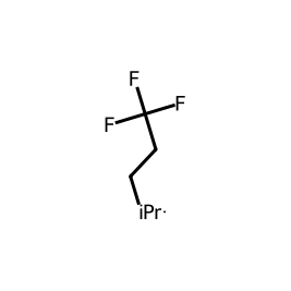 C[C](C)CCC(F)(F)F